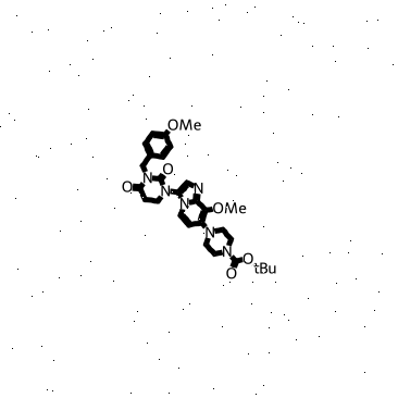 COc1ccc(CN2C(=O)CCN(c3cnc4c(OC)c(N5CCN(C(=O)OC(C)(C)C)CC5)ccn34)C2=O)cc1